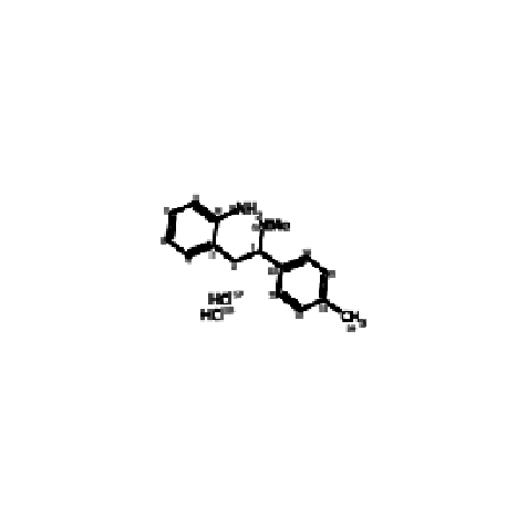 CNC(Cc1ccccc1N)c1ccc(C)cc1.Cl.Cl